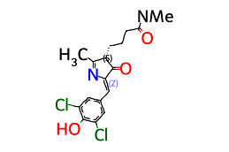 CNC(=O)CCC[C@@H]1C(=O)/C(=C/c2cc(Cl)c(O)c(Cl)c2)N=C1C